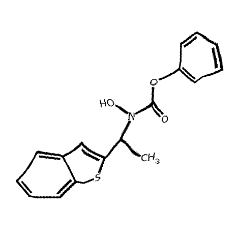 CC(c1cc2ccccc2s1)N(O)C(=O)Oc1ccccc1